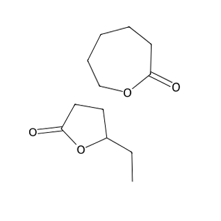 CCC1CCC(=O)O1.O=C1CCCCCO1